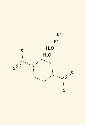 O.O.S=C([S-])N1CCN(C(=S)[S-])CC1.[K+].[K+]